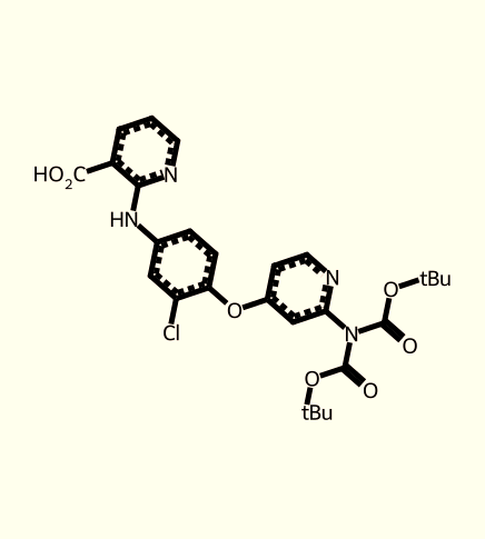 CC(C)(C)OC(=O)N(C(=O)OC(C)(C)C)c1cc(Oc2ccc(Nc3ncccc3C(=O)O)cc2Cl)ccn1